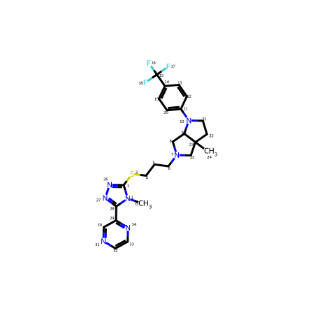 Cn1c(SCCCN2CC3N(c4ccc(C(F)(F)F)cc4)CCC3(C)C2)nnc1-c1cnccn1